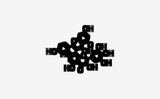 O=C1c2c(O)cc(O)c([C@@H]3C(=O)c4c(O)cc(O)cc4O[C@H]3c3ccc(O)cc3)c2O[C@H](c2cc(O)c(O)c(O)c2)[C@H]1O